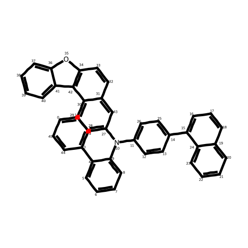 c1ccc(-c2ccccc2N(c2ccc(-c3cccc4ccccc34)cc2)c2ccc3c(ccc4oc5ccccc5c43)c2)cc1